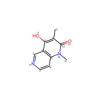 Cc1c(O)c2cnccc2n(C)c1=O